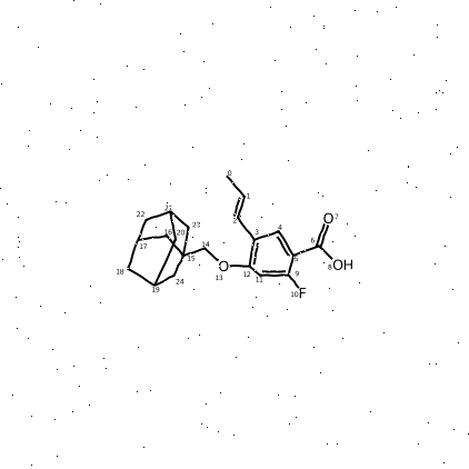 CC=Cc1cc(C(=O)O)c(F)cc1OCC12CC3CC(CC(C3)C1)C2